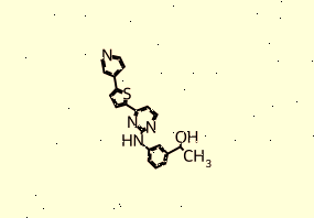 CC(O)c1cccc(Nc2nccc(-c3ccc(-c4ccncc4)s3)n2)c1